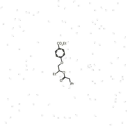 CCOC(=O)c1ccc(OCC(CC)OC(=O)CC(C)C)cc1